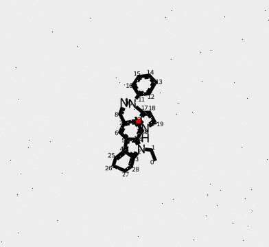 CCn1c2c(c3cc(/C=N\N(c4ccccc4)c4cc[nH]n4)ccc31)=CCCC=2